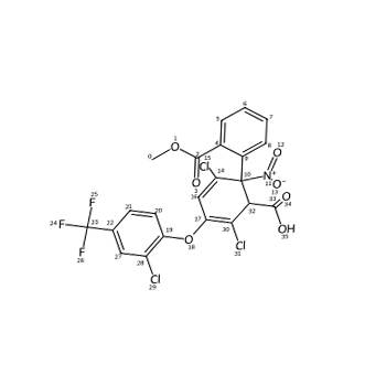 COC(=O)c1ccccc1C1([N+](=O)[O-])C(Cl)=CC(Oc2ccc(C(F)(F)F)cc2Cl)=C(Cl)C1C(=O)O